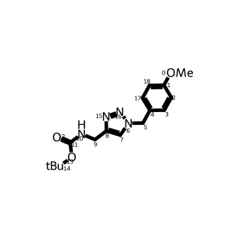 COc1ccc(Cn2cc(CNC(=O)OC(C)(C)C)nn2)cc1